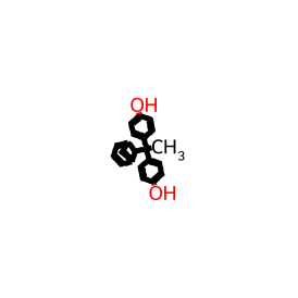 CC(c1ccc(O)cc1)(c1ccc(O)cc1)C1C2=CC=CC1=C2